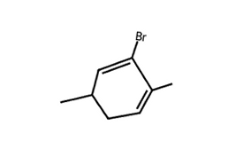 CC1=CCC(C)C=C1Br